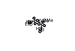 CCN(CC)C(=O)NCC/C(=C(\c1ccccc1)c1ccc(OC)cc1)c1cccc(-c2ccc(/C(=C(\CCNC(=O)N3CCCCC3)c3ccccc3)c3ccc(OC)cc3)cc2)c1